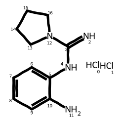 Cl.Cl.N=C(Nc1ccccc1N)N1CCCC1